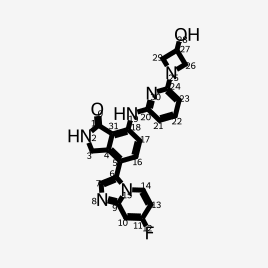 O=C1NCc2c(-c3cnc4cc(F)ccn34)ccc(Nc3cccc(N4CC(O)C4)n3)c21